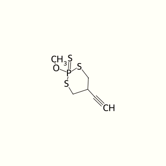 C#CC1CSP(=S)(OC)SC1